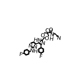 CC1(C(=O)NCC#N)COC(c2nc(-c3ccc(F)cc3)c(-c3ccnc(Nc4ccc(F)cc4)n3)[nH]2)OC1